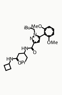 CCC(C)Cn1nc(C(=O)NC(CC(=O)NC2CCC2)CC(C)C)cc1-c1c(OC)cccc1OC